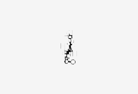 O=C(COc1ccc(Cl)c(F)c1)NC1C[C@H](NC(=O)C2CC3CCCC(C4CCCCCC4)N3C2)C2CC1C2